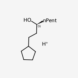 CCCCC[C@H](O)CCC1CCCC1.[H+]